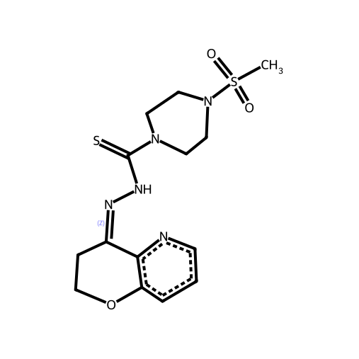 CS(=O)(=O)N1CCN(C(=S)N/N=C2/CCOc3cccnc32)CC1